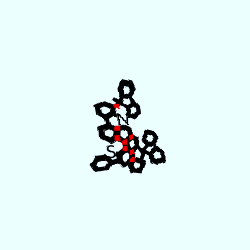 CC1(C)c2ccccc2-c2cccc(N(c3ccc(-c4cccc5c4sc4ccccc45)cc3)c3ccccc3-c3cccc(-c4ccc5c(c4)-c4ccccc4C5(c4ccccc4)c4ccccc4)c3)c21